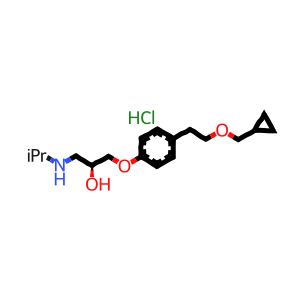 CC(C)NC[C@H](O)COc1ccc(CCOCC2CC2)cc1.Cl